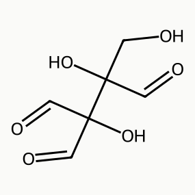 O=CC(O)(C=O)C(O)(C=O)CO